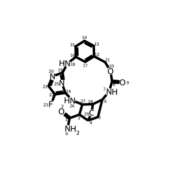 NC(=O)C1C2CC3NC(=O)OCc4cccc(c4)Nc4ncc(F)c(n4)NC1C3C2